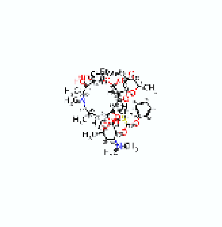 CC[C@H]1OC(=O)[C@H]2[C@@H](OC23CC2(OC)OC2C(C)O3)[C@H](C)[C@@H](OC2OC(C)CC(N(C)C)C2OC(=S)Oc2ccccc2)[C@@](C)(O)C[C@@H](C)CN(C)[C@H](C)[C@@H](O)[C@]1(C)O